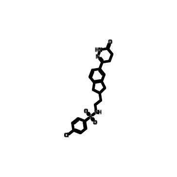 O=C1CCC(c2ccc3c(c2)CC(CCNS(=O)(=O)c2ccc(Cl)cc2)C3)=NN1